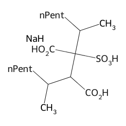 CCCCCC(C)C(C(=O)O)C(C(=O)O)(C(C)CCCCC)S(=O)(=O)O.[NaH]